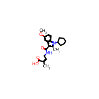 COc1ccc2c(c1)c(C(=O)NCC=C(C)C(=O)O)c(C)n2C1CCCCC1